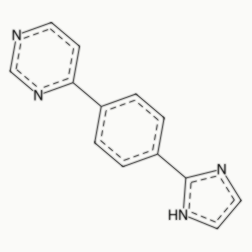 c1cc(-c2ccc(-c3ncc[nH]3)cc2)ncn1